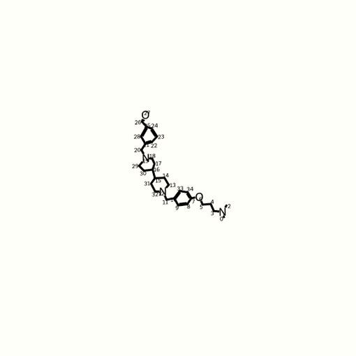 CN(C)CCCOc1ccc(CN2CCC(C3CCN(Cc4cccc(C=O)c4)CC3)CC2)cc1